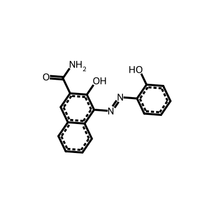 NC(=O)c1cc2ccccc2c(/N=N/c2ccccc2O)c1O